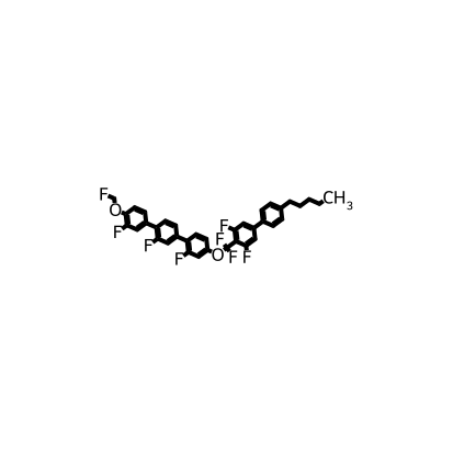 CCCCCc1ccc(-c2cc(F)c(C(F)(F)Oc3ccc(-c4ccc(-c5ccc(OCF)c(F)c5)c(F)c4)c(F)c3)c(F)c2)cc1